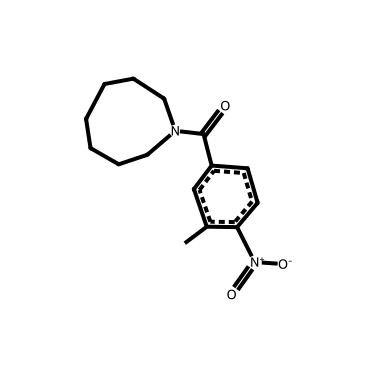 Cc1cc(C(=O)N2CCCCCCC2)ccc1[N+](=O)[O-]